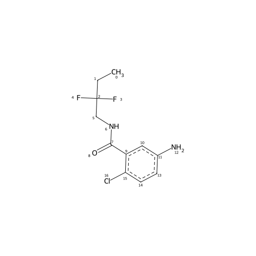 CCC(F)(F)CNC(=O)c1cc(N)ccc1Cl